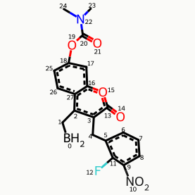 BCc1c(Cc2cccc([N+](=O)[O-])c2F)c(=O)oc2cc(OC(=O)N(C)C)ccc12